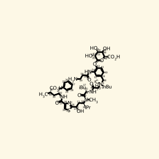 CCCC[N+](C)(CC(=O)N[C@H](C(=O)N(C)[C@H](C[C@@H](O)c1nc(C(=O)N[C@@H](Cc2ccccc2)C[C@H](C)C(=O)O)cs1)C(C)C)[C@@H](C)CC)Cc1ccc(O[C@@H]2O[C@H](C(=O)O)C(O)[C@H](O)[C@H]2O)c(NC(=O)CCN)c1